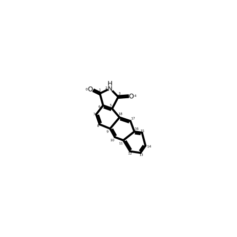 O=C1NC(=O)c2c1ccc1cc3ccccc3cc21